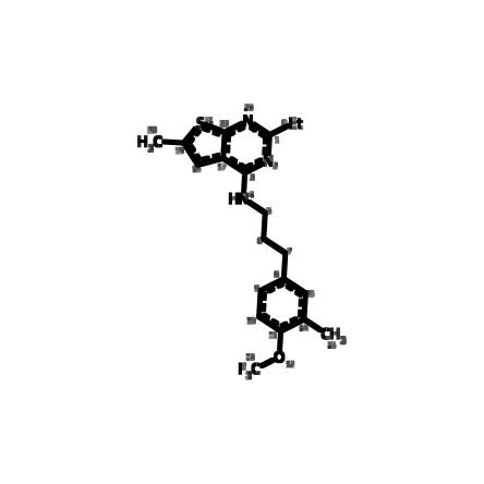 CCc1nc(NCCCc2ccc(OC(F)(F)F)c(C)c2)c2cc(C)sc2n1